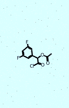 CC(=O)OC(C(=O)Cl)c1cc(F)cc(F)c1